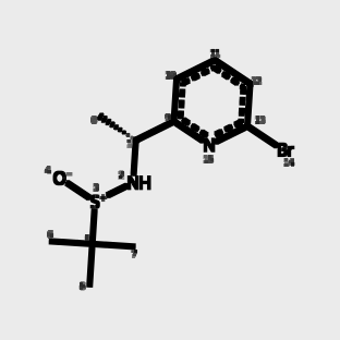 C[C@@H](N[S+]([O-])C(C)(C)C)c1cccc(Br)n1